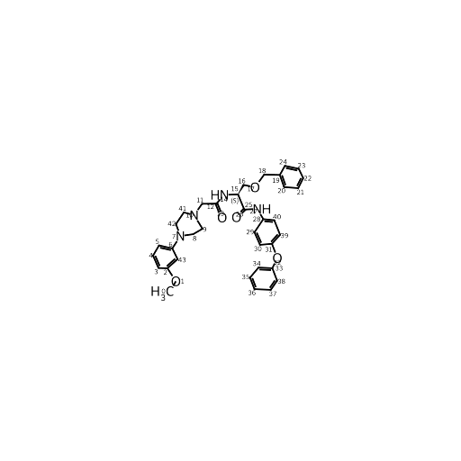 COc1cccc(N2CCN(CC(=O)N[C@@H](COCc3ccccc3)C(=O)Nc3ccc(Oc4ccccc4)cc3)CC2)c1